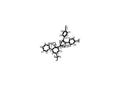 CC(C)(C)c1cc(-c2ccccc2)c(O)c(-c2nc(-c3ccc(F)cc3)c(-c3ccc(F)cc3)[nH]2)c1